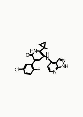 CC1(c2[nH]c(=O)c(-c3cc(Cl)ccc3F)cc2Nc2ccnc3[nH]ncc23)CC1